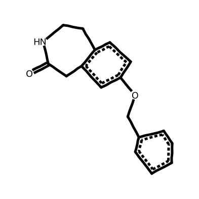 O=C1Cc2cc(OCc3ccccc3)ccc2CCN1